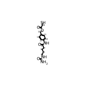 NC(=O)NCCCCC(=O)Nc1ccc(COC(=O)CS)cc1